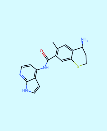 Cc1cc2c(cc1C(=O)Nc1ccnc3[nH]ccc13)SCC[C@@H]2N